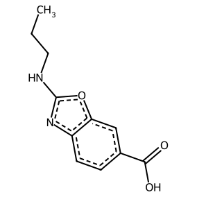 CCCNc1nc2ccc(C(=O)O)cc2o1